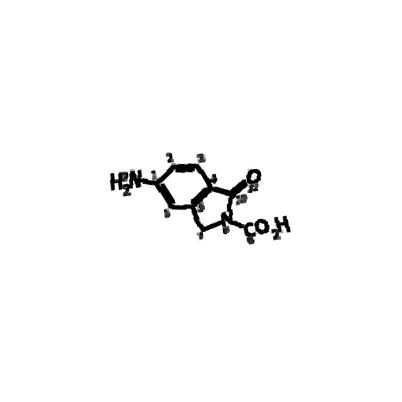 Nc1ccc2c(c1)CN(C(=O)O)C2=O